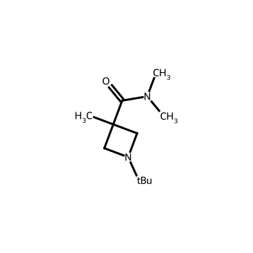 CN(C)C(=O)C1(C)CN(C(C)(C)C)C1